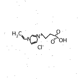 C=Cn1cc[n+](CCCS(=O)(=O)O)c1.[Cl-]